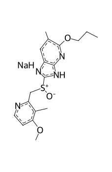 CCCOc1nc2[nH]c([S+]([O-])Cc3nccc(OC)c3C)nc2cc1C.[NaH]